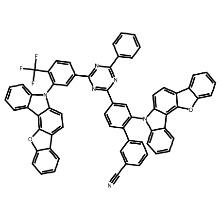 N#Cc1cccc(-c2ccc(-c3nc(-c4ccccc4)nc(-c4ccc(C(F)(F)F)c(-n5c6ccccc6c6c7oc8ccccc8c7ccc65)c4)n3)cc2-n2c3ccccc3c3c4oc5ccccc5c4ccc32)c1